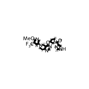 COc1ncc(N2CCc3ncnc(O[C@H]4CCN(C(=O)c5c[nH]cn5)C4)c3C2)cc1C(F)(F)F